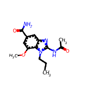 CCCn1c(NC(C)=O)nc2cc(C(N)=O)cc(OC)c21